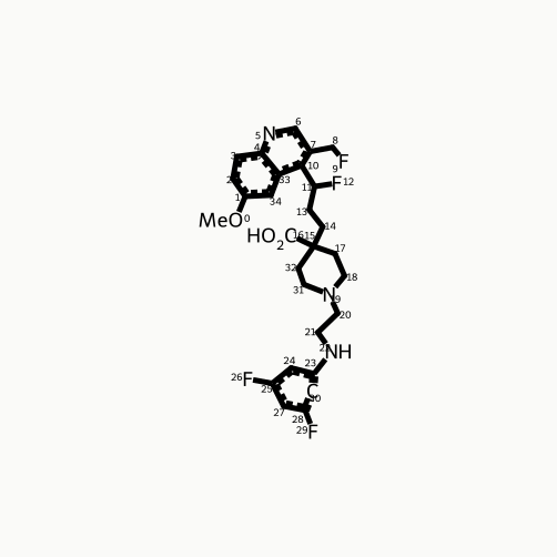 COc1ccc2ncc(CF)c(C(F)CCC3(C(=O)O)CCN(CCNc4cc(F)cc(F)c4)CC3)c2c1